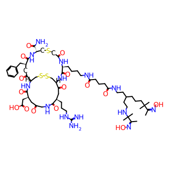 C/C(=N/O)C(C)(C)CCCC(CCNC(=O)CCCC(=O)NCCCC[C@@H]1NC(=O)CSC[C@@H](C(N)=O)NC(=O)[C@H](Cc2ccccc2)CC(=O)[C@@H]2CSSC[C@H](NC1=O)C(=O)C[C@@H](CCCNC(=N)N)C(=O)NCC(=O)C[C@@H](CC(=O)O)C(=O)N2)CCNC(C)(C)/C(C)=N\O